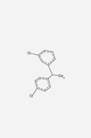 CC(c1ccc(Cl)cc1)c1cccc(Cl)c1